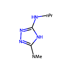 CCCNc1nnc(NC)[nH]1